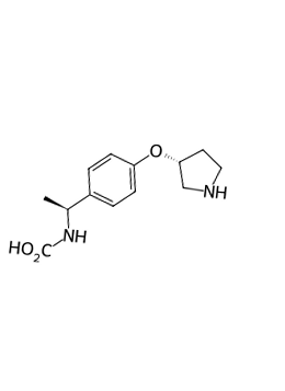 C[C@H](NC(=O)O)c1ccc(O[C@@H]2CCNC2)cc1